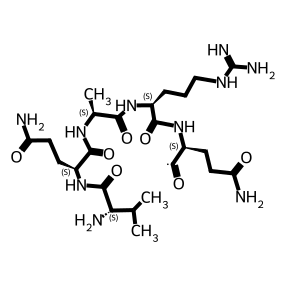 CC(C)[C@H](N)C(=O)N[C@@H](CCC(N)=O)C(=O)N[C@@H](C)C(=O)N[C@@H](CCCNC(=N)N)C(=O)N[C@H]([C]=O)CCC(N)=O